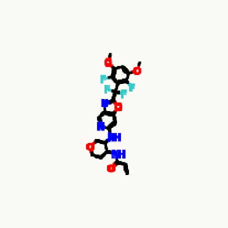 C=CC(=O)NC1CCOCC1Nc1cc2oc(C(F)(F)c3c(F)c(OC)cc(OC)c3F)nc2cn1